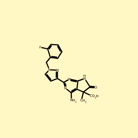 CC1(C(=O)O)C(=O)Nc2nc(-c3ccn(Cc4ccccc4F)n3)nc(N)c21